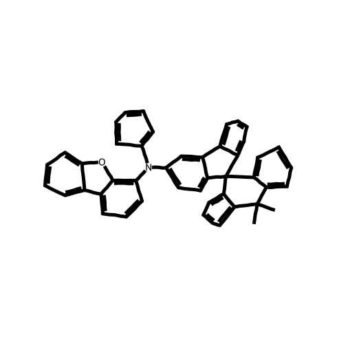 CC1(C)c2ccccc2C2(c3ccccc3-c3cc(N(c4ccccc4)c4cccc5c4oc4ccccc45)ccc32)c2ccccc21